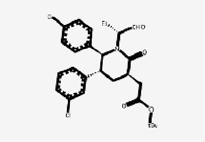 CC[C@H](C=O)N1C(=O)[C@@H](CC(=O)OC(C)(C)C)C[C@H](c2cccc(Cl)c2)[C@H]1c1ccc(Cl)cc1